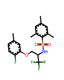 Cc1cc(C)c(S(=O)(=O)NC(COc2cc(C)ccc2F)C(F)(F)F)c(C)c1